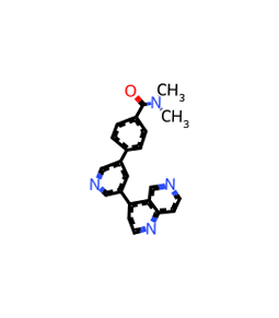 CN(C)C(=O)c1ccc(-c2cncc(-c3ccnc4ccncc34)c2)cc1